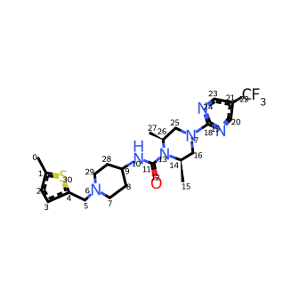 Cc1ccc(CN2CCC(NC(=O)N3[C@H](C)CN(c4ncc(C(F)(F)F)cn4)C[C@@H]3C)CC2)s1